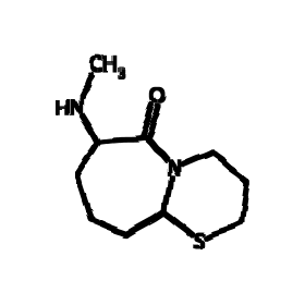 CNC1CCCC2SCCCN2C1=O